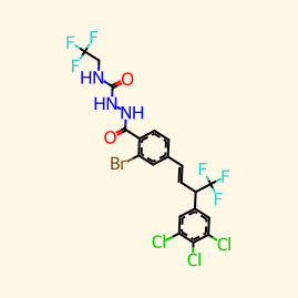 O=C(NCC(F)(F)F)NNC(=O)c1ccc(C=CC(c2cc(Cl)c(Cl)c(Cl)c2)C(F)(F)F)cc1Br